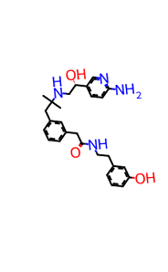 CC(C)(Cc1cccc(CC(=O)NCCc2cccc(O)c2)c1)NC[C@H](O)c1ccc(N)nc1